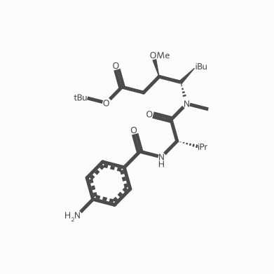 CC[C@H](C)[C@@H]([C@@H](CC(=O)OC(C)(C)C)OC)N(C)C(=O)[C@@H](NC(=O)c1ccc(N)cc1)C(C)C